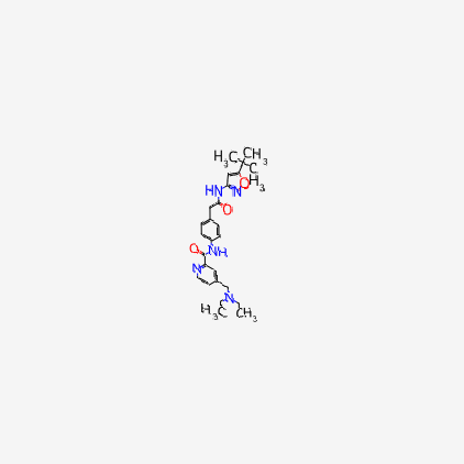 CCN(CC)Cc1ccnc(C(=O)Nc2ccc(CC(=O)Nc3cc(C(C)(C)C)on3)cc2)c1